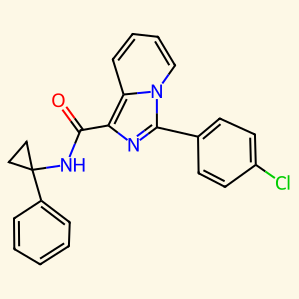 O=C(NC1(c2ccccc2)CC1)c1nc(-c2ccc(Cl)cc2)n2ccccc12